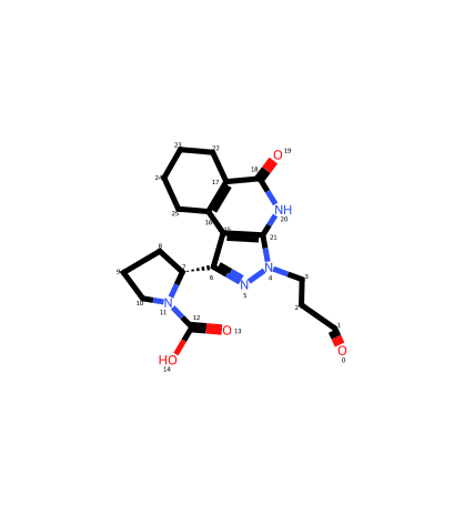 O=CCCn1nc([C@H]2CCCN2C(=O)O)c2c3c(c(=O)[nH]c21)CCCC3